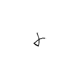 [CH2]C1([CH2])CC1